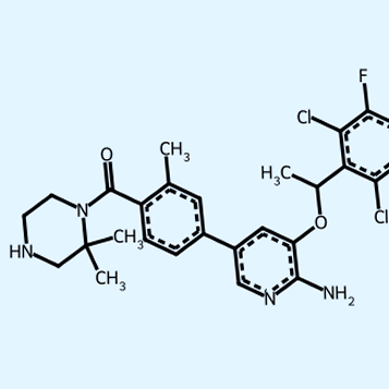 Cc1cc(-c2cnc(N)c(OC(C)c3c(Cl)ccc(F)c3Cl)c2)ccc1C(=O)N1CCNCC1(C)C